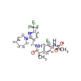 CC(C(=O)NCc1ccc(C(F)(F)F)nc1N1CCCCCC1)c1ccc(NS(C)(=O)=O)c(F)c1